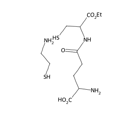 CCOC(=O)C(CS)NC(=O)CCC(N)C(=O)O.NCCS